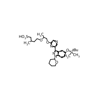 CC(CCOC(C)COc1cncc(-c2nn(C3CCCCO3)c3ccc(O[Si](C)(C)C(C)(C)C)cc23)n1)CS(=O)(=O)O